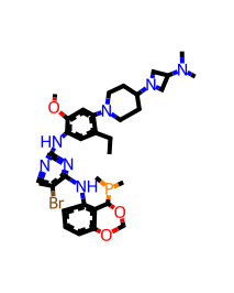 CCc1cc(Nc2ncc(Br)c(Nc3cccc4c3C(P(C)C)OCO4)n2)c(OC)cc1N1CCC(N2CC(N(C)C)C2)CC1